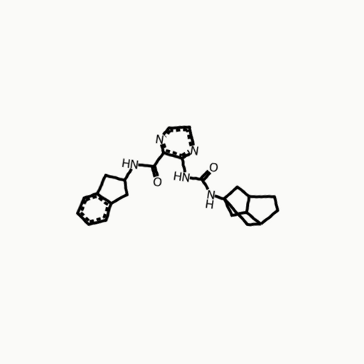 O=C(Nc1nccnc1C(=O)NC1Cc2ccccc2C1)NC12CC3CCC(C1)C3C2